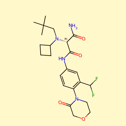 CC(C)(C)CN(C1CCC1)[C@H](C(N)=O)C(=O)Nc1ccc(N2CCOCC2=O)c(C(F)F)c1